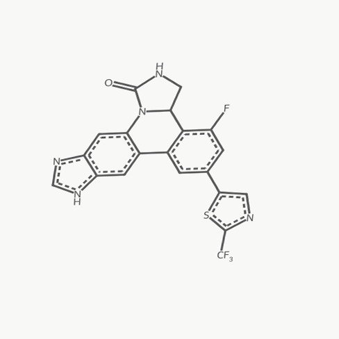 O=C1NCC2c3c(F)cc(-c4cnc(C(F)(F)F)s4)cc3-c3cc4[nH]cnc4cc3N12